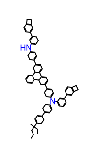 CCCC(C)(CC)C1=CC=C(C2=CC=C(N(C3=CC=C(C4=CC=C5C6=CC=C(C7=CC=C(NC8=CCCC(c9ccc%10c(c9)CC%10)=C8)CC7)CC6C6C=CC=CC6C5C4)CC3)c3cccc(-c4ccc5c(c4)CC5)c3)CC2)CC1